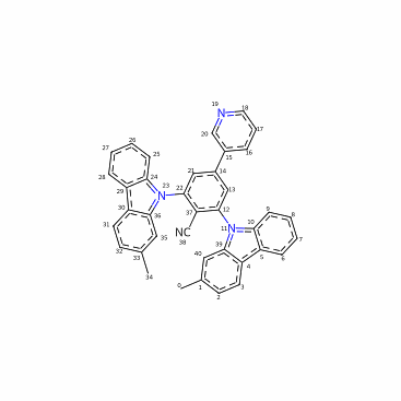 Cc1ccc2c3ccccc3n(-c3cc(-c4cccnc4)cc(-n4c5ccccc5c5ccc(C)cc54)c3C#N)c2c1